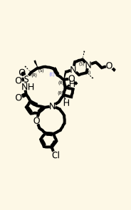 COCCN1[C@H](C)CN(C[C@]2(OC)/C=C/C[C@H](C)[C@@H](C)S(=O)(=O)NC(=O)c3ccc4c(c3)N(CCCCc3cc(Cl)ccc3CO4)C[C@@H]3CC[C@H]32)C[C@@H]1C